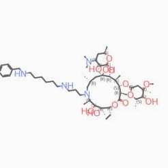 CC[C@H]1OC(=O)[C@H](C)[C@@H](O[C@H]2C[C@@](C)(OC)[C@@H](O)[C@H](C)O2)[C@H](C)[C@@H](O[C@@H]2O[C@H](C)C[C@H](N(C)C)[C@H]2O)[C@](C)(O)C[C@@H](C)CN(CCCNCCCCCCNCc2ccccc2)[C@H](C)[C@H](O)[C@]1(C)O